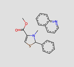 COC(=O)C1=CSC(c2ccccc2)N1C.c1ccc2ncccc2c1